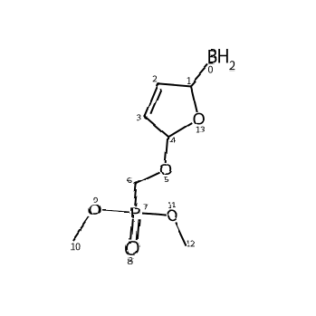 BC1C=CC(OCP(=O)(OC)OC)O1